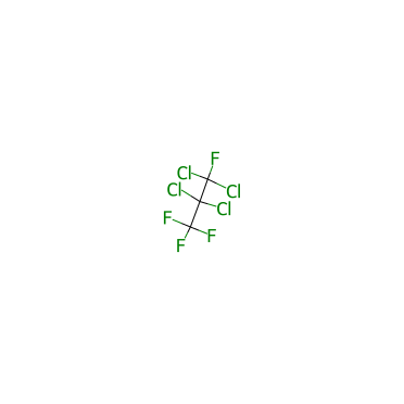 FC(F)(F)C(Cl)(Cl)C(F)(Cl)Cl